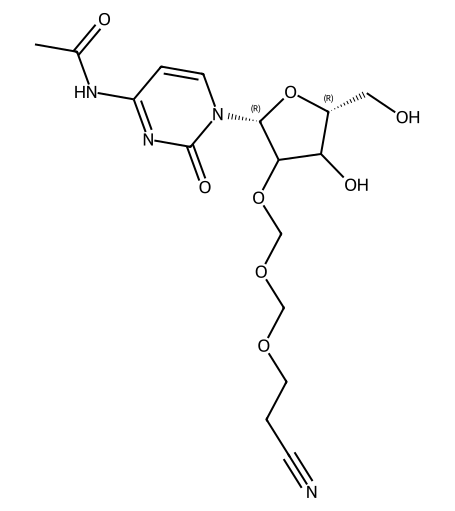 CC(=O)Nc1ccn([C@@H]2O[C@H](CO)C(O)C2OCOCOCCC#N)c(=O)n1